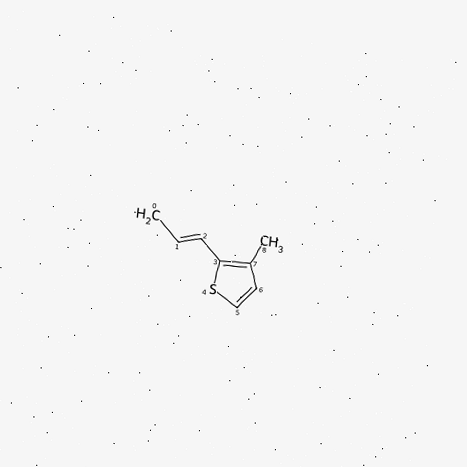 [CH2]/C=C/c1sccc1C